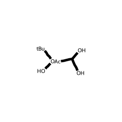 CC(=O)C(O)O.CC(C)(C)OO